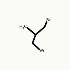 CC(C)CC(C)CBr